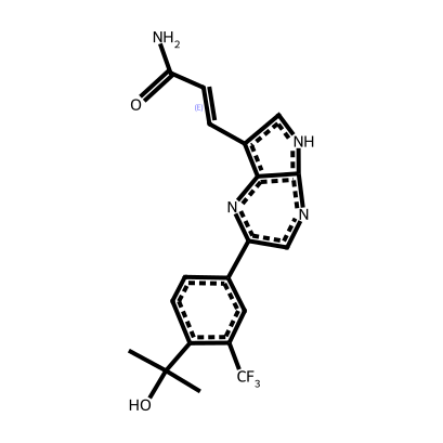 CC(C)(O)c1ccc(-c2cnc3[nH]cc(/C=C/C(N)=O)c3n2)cc1C(F)(F)F